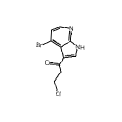 O=C(CCCl)c1c[nH]c2nccc(Br)c12